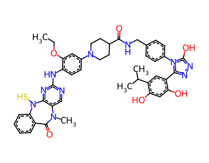 CCOc1cc(N2CCC(C(=O)NCc3ccc(-n4c(O)nnc4-c4cc(C(C)C)c(O)cc4O)cc3)CC2)ccc1Nc1ncc2c(n1)N(S)c1ccccc1C(=O)N2C